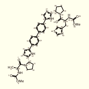 COC(=O)N[C@@H](C)C(=O)N1CCC[C@H]1c1ncc(-c2ccc(-c3ccc(-c4cnc([C@@H]5CCCN5C(=O)[C@H](Cc5cscn5)NC(=O)OC)[nH]4)cc3)cc2)[nH]1